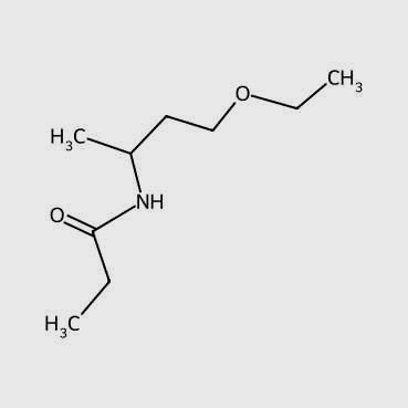 CCOCCC(C)NC(=O)CC